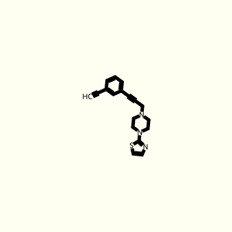 C#Cc1cccc(C#CCN2CCN(c3nccs3)CC2)c1